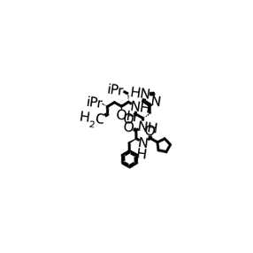 C=C[C@@H](C[C@@H](O)[C@H](CC(C)C)NC(=O)[C@H](Cc1c[nH]cn1)NC(=O)[C@H](Cc1ccccc1)NC(=O)C1CCCC1)C(C)C